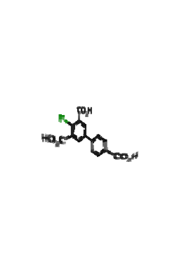 O=C(O)c1ccc(-c2cc(C(=O)O)c(F)c(C(=O)O)c2)cc1